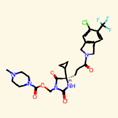 CN1CCN(C(=O)OCN2C(=O)N[C@](CCC(=O)N3Cc4cc(Cl)c(C(F)(F)F)cc4C3)(C3CC3)C2=O)CC1